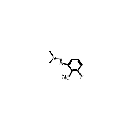 CN(C)C=Nc1cccc(F)c1C#N